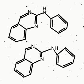 c1ccc(Nc2ncc3ccccc3n2)cc1.c1ccc(Nc2ncc3ccccc3n2)cc1